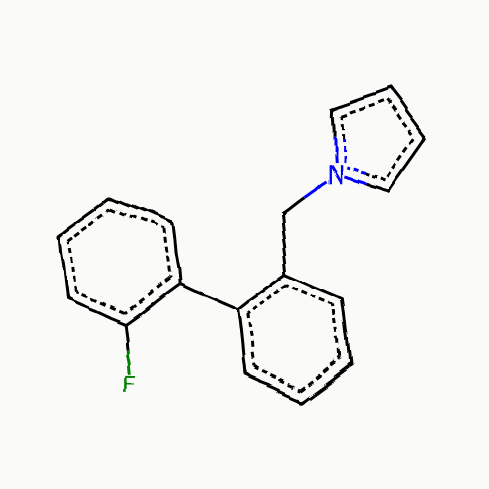 Fc1ccccc1-c1ccccc1Cn1cccc1